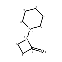 O=C1CCN1N1CCCCC1